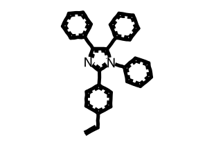 C=Cc1ccc(-c2nc(-c3ccccc3)c(-c3ccccc3)n2-c2ccccc2)cc1